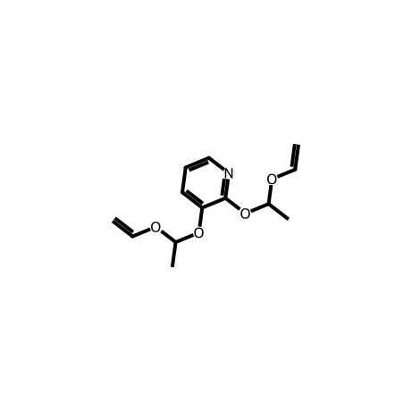 C=COC(C)Oc1cccnc1OC(C)OC=C